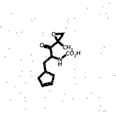 CC1(C(=O)C(CC2CC=CC2)NC(=O)O)CO1